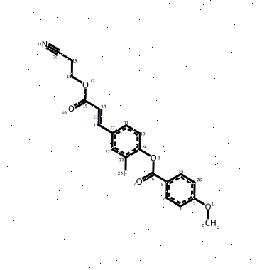 COc1ccc(C(=O)Oc2ccc(/C=C/C(=O)OCCC#N)cc2F)cc1